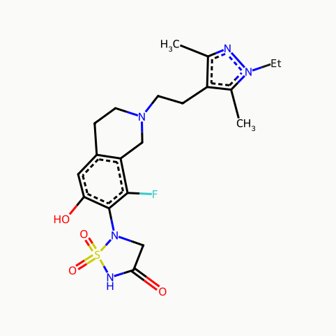 CCn1nc(C)c(CCN2CCc3cc(O)c(N4CC(=O)NS4(=O)=O)c(F)c3C2)c1C